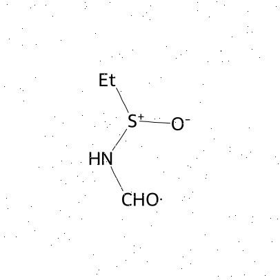 CC[S+]([O-])N[C]=O